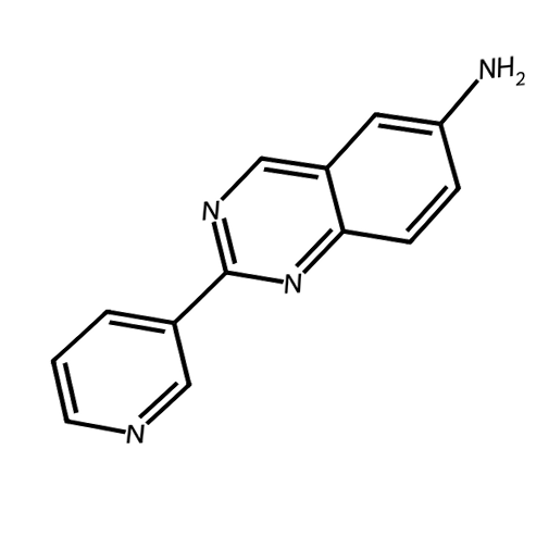 Nc1ccc2nc(-c3cccnc3)ncc2c1